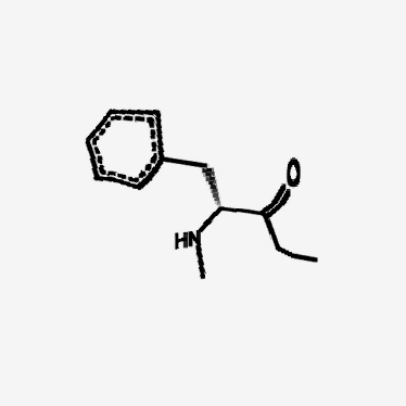 CCC(=O)[C@@H](Cc1ccccc1)NC